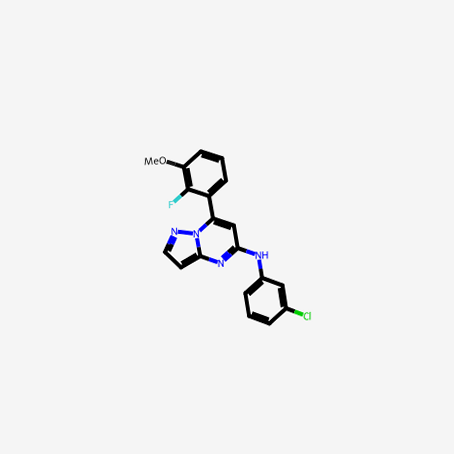 COc1cccc(-c2cc(Nc3cccc(Cl)c3)nc3ccnn23)c1F